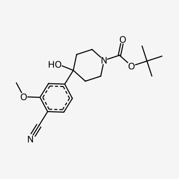 COc1cc(C2(O)CCN(C(=O)OC(C)(C)C)CC2)ccc1C#N